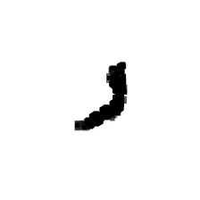 CCOC(=O)[C@H]1[C@@H]2Cc3cc(OCc4cc(-c5ccc(N6CCC(C(C)(C)O)CC6)cc5F)c(C)cc4F)ncc3[C@@H]21